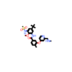 CNCc1cc(Oc2cc(C(=O)Nc3cc(C(C)(C)C)cc(NS(C)(=O)=O)c3OC)ccc2C)ccn1